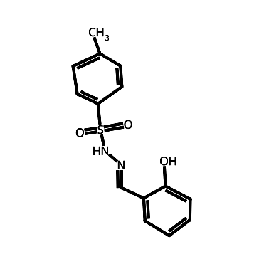 Cc1ccc(S(=O)(=O)NN=Cc2ccccc2O)cc1